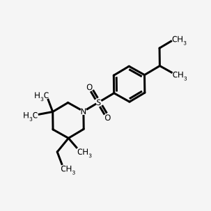 CCC(C)c1ccc(S(=O)(=O)N2CC(C)(C)CC(C)(CC)C2)cc1